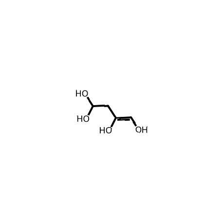 OC=C(O)CC(O)O